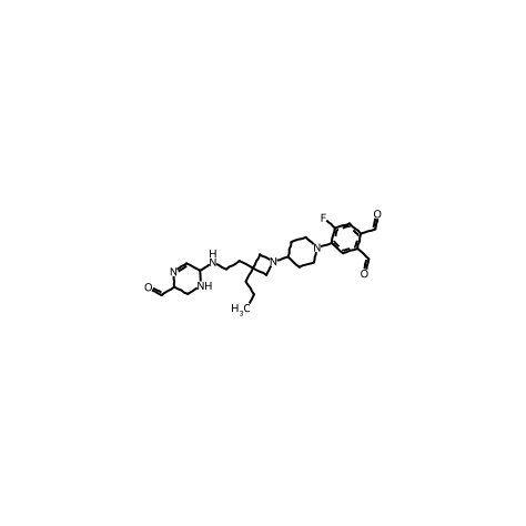 CCCC1(CCNC2C=NC(C=O)CN2)CN(C2CCN(c3cc(C=O)c(C=O)cc3F)CC2)C1